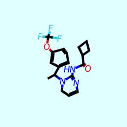 CC(c1cccc(OC(F)(F)F)c1)N1CC=CN=C1NC(=O)C1CCC1